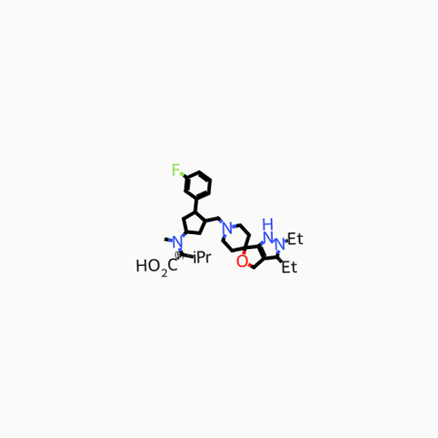 CCC1C2=C(NN1CC)C1(CCN(CC3CC(N(C)[C@@H](C(=O)O)C(C)C)CC3c3cccc(F)c3)CC1)OC2